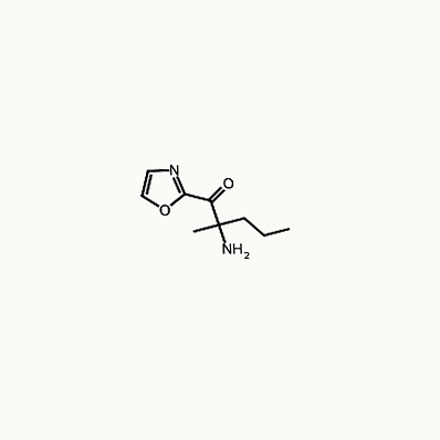 CCCC(C)(N)C(=O)c1ncco1